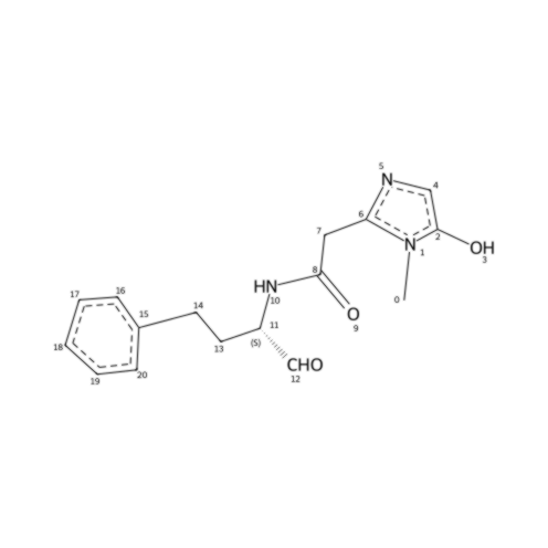 Cn1c(O)cnc1CC(=O)N[C@H](C=O)CCc1ccccc1